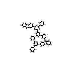 c1ccc(-c2cc(-c3ccccc3)cc(-c3ccc4c5ccccc5n(-c5cccc(-c6cccc(-c7nc(-c8ccccc8)nc(-c8ccc9c(c8)oc8ccccc89)n7)c6)c5)c4c3)c2)cc1